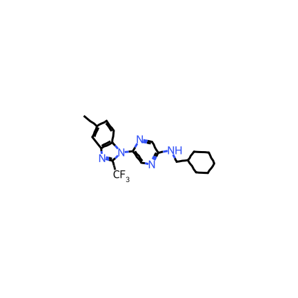 Cc1ccc2c(c1)nc(C(F)(F)F)n2-c1cnc(NCC2CCCCC2)cn1